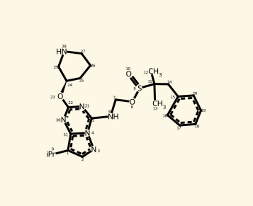 CC(C)c1cnn2c(NCOS(=O)C(C)(C)Cc3ccccc3)nc(O[C@@H]3CCCNC3)nc12